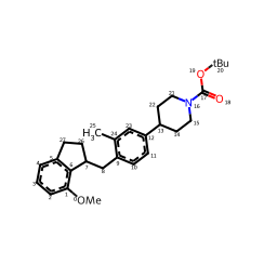 COc1cccc2c1C(Cc1ccc(C3CCN(C(=O)OC(C)(C)C)CC3)cc1C)CC2